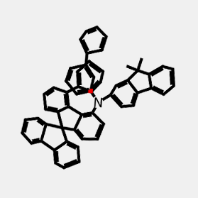 CC1(C)c2ccccc2-c2ccc(N(c3cccc(-c4ccccc4)c3)c3cccc4c3-c3c(-c5ccccc5)cccc3C43c4ccccc4-c4ccccc43)cc21